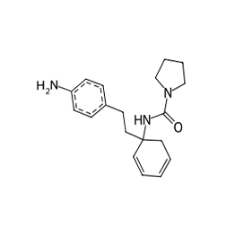 Nc1ccc(CCC2(NC(=O)N3CCCC3)C=CC=CC2)cc1